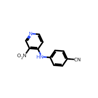 N#Cc1ccc(Nc2ccncc2[N+](=O)[O-])cc1